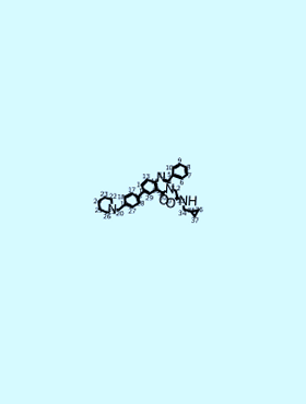 O=C(Cn1c(-c2ccccc2)nc2ccc(-c3ccc(CN4CCCCC4)cc3)cc2c1=O)NCC1CC1